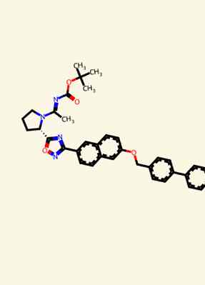 C/C(=N\C(=O)OC(C)(C)C)N1CCC[C@H]1c1nc(-c2ccc3cc(OCc4ccc(-c5ccccc5)cc4)ccc3c2)no1